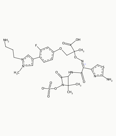 C[n+]1cc(-c2ccc(OCC(C)(O/N=C(\C(=O)NC3C(=O)N(OS(=O)(=O)[O-])C3(C)C)c3csc(N)n3)C(=O)O)cc2F)cn1CCCN